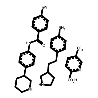 CCCc1ccc(C(=O)Nc2ccc(C3CCCNC3)cc2)cc1.Nc1ccc(CCC2CCNC2)cc1.O=C(O)c1ccc(C(F)(F)F)cn1